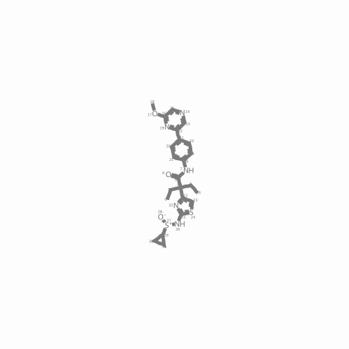 CCC(CC)(C(=O)Nc1ccc(-c2cncc(OC)n2)cc1)c1csc(N[S+]([O-])C2CC2)n1